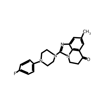 Cc1cc2c3c(c1)nc(N1CCN(c4ccc(F)cc4)CC1)n3CCC2=O